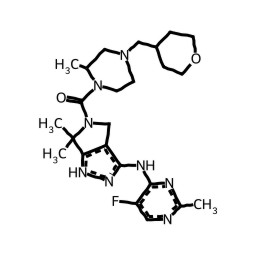 Cc1ncc(F)c(Nc2n[nH]c3c2CN(C(=O)N2CCN(CC4CCOCC4)CC2C)C3(C)C)n1